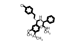 CNC(=O)[C@@H](N[C@@H](CCc1ccc(Cl)cc1)c1ccc(OC)c(OC)c1)c1ccccc1